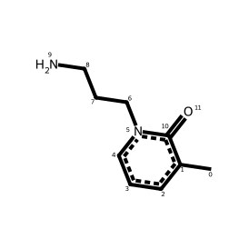 Cc1cccn(CCCN)c1=O